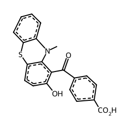 CN1c2ccccc2Sc2ccc(O)c(C(=O)c3ccc(C(=O)O)cc3)c21